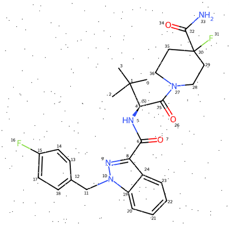 CC(C)(C)[C@H](NC(=O)c1nn(Cc2ccc(F)cc2)c2ccccc12)C(=O)N1CCC(F)(C(N)=O)CC1